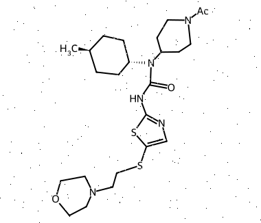 CC(=O)N1CCC(N(C(=O)Nc2ncc(SCCN3CCOCC3)s2)[C@H]2CC[C@H](C)CC2)CC1